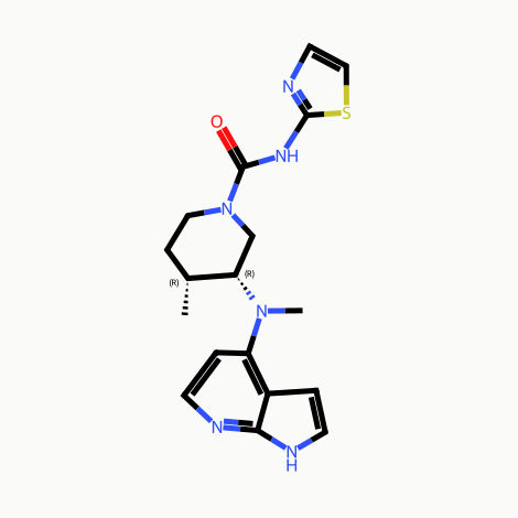 C[C@@H]1CCN(C(=O)Nc2nccs2)C[C@@H]1N(C)c1ccnc2[nH]ccc12